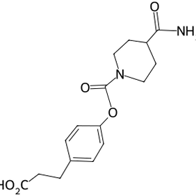 NC(=O)C1CCN(C(=O)Oc2ccc(CCC(=O)O)cc2)CC1